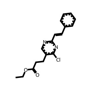 CCOC(=O)CCc1cnc(/C=C/c2ccccc2)nc1Cl